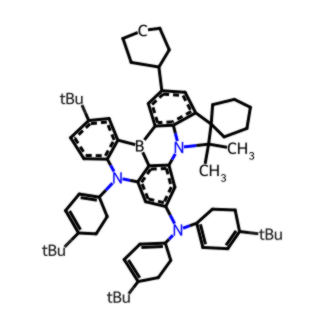 CC(C)(C)C1=CC=C(N(C2=CC=C(C(C)(C)C)CC2)c2cc3c4c(c2)N2c5c(cc(C6CCCCC6)cc5C5(CCCCC5)C2(C)C)B4c2cc(C(C)(C)C)ccc2N3C2=CC=C(C(C)(C)C)CC2)CC1